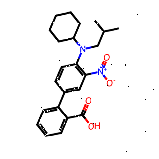 CC(C)CN(c1ccc(-c2ccccc2C(=O)O)cc1[N+](=O)[O-])C1CCCCC1